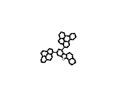 c1ccc2c(c1)ccc1c2oc2cc(-c3ccc4ccc5cccc6ccc3c4c56)cc(-c3ccc4c5ccccc5c5cccc6ccc3c4c65)c21